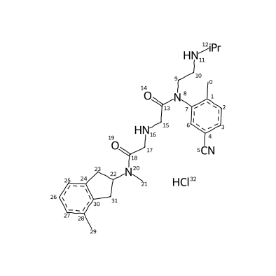 Cc1ccc(C#N)cc1N(CCNC(C)C)C(=O)CNCC(=O)N(C)C1Cc2cccc(C)c2C1.Cl